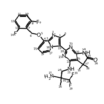 Cc1nc2c(OCc3c(F)cccc3F)cccn2c1-c1nc(NCC(C)(N)C(F)F)c2c(n1)NC(=O)C2(C)C